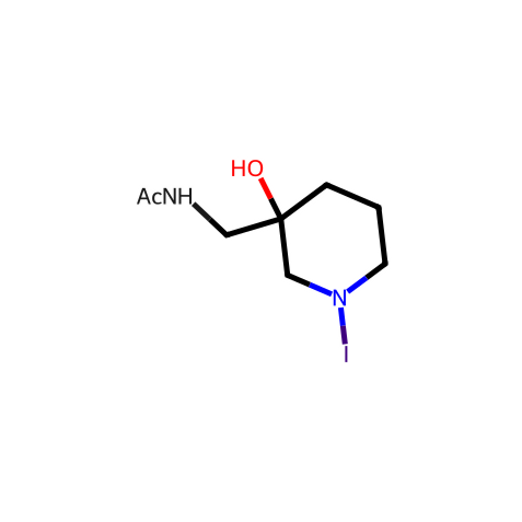 CC(=O)NCC1(O)CCCN(I)C1